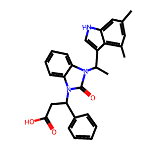 Cc1cc(C)c2c(C(C)n3c(=O)n(C(CC(=O)O)c4ccccc4)c4ccccc43)c[nH]c2c1